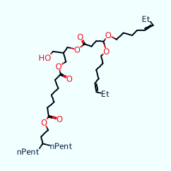 CC/C=C\CCCCOC(CCC(=O)OCC(CO)COC(=O)CCCCCC(=O)OCCC(CCCCC)CCCCC)OCCCC/C=C\CC